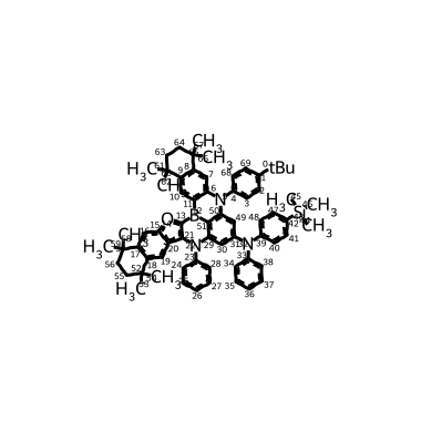 CC(C)(C)c1ccc(N2c3cc4c(cc3B3c5oc6cc7c(cc6c5N(c5ccccc5)c5cc(N(c6ccccc6)c6ccc([Si](C)(C)C)cc6)cc2c53)C(C)(C)CCC7(C)C)C(C)(C)CCC4(C)C)cc1